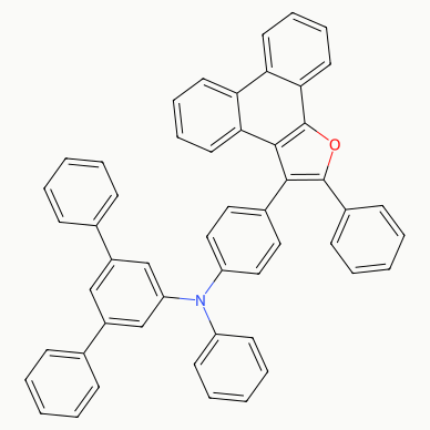 c1ccc(-c2cc(-c3ccccc3)cc(N(c3ccccc3)c3ccc(-c4c(-c5ccccc5)oc5c6ccccc6c6ccccc6c45)cc3)c2)cc1